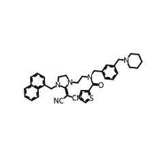 N#CC(C#N)=C1N(CCN(Cc2cccc(CN3CCCCC3)c2)C(=O)c2cccs2)CCN1Cc1cccc2ccccc12